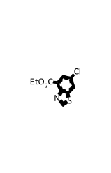 CCOC(=O)c1cc(Cl)cc2scnc12